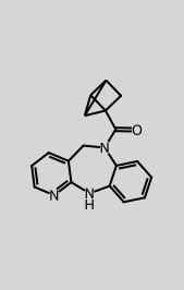 O=C(N1Cc2cccnc2Nc2ccccc21)C12CC3C1C32